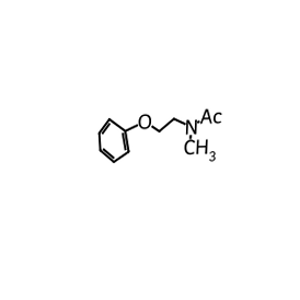 CC(=O)N(C)CCOc1ccccc1